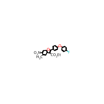 CCOC(=O)c1c(-c2ccc(Oc3ccc(F)cc3)cc2)oc2cc([N+](=O)[O-])c(C)cc12